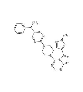 CC(c1ccccc1)c1cnc(N2CCN(c3ncnc4ccc(-c5cnn(C)c5)n34)CC2)nc1